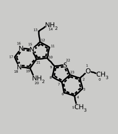 COc1cc(C)cc2cc(-c3cc(CN)n4ncnc(N)c34)sc12